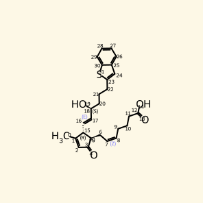 CC1=CC(=O)[C@H](C/C=C\CCCC(=O)O)[C@H]1/C=C/[C@@H](O)CCCc1cc2ccccc2s1